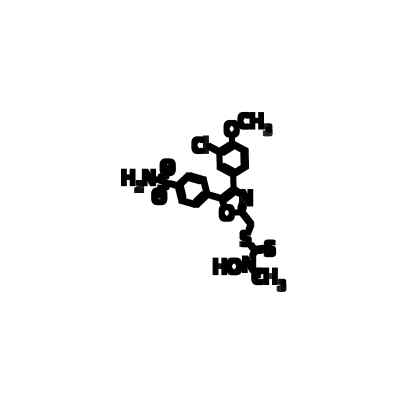 COc1ccc(-c2nc(CSC(=S)N(C)O)oc2-c2ccc(S(N)(=O)=O)cc2)cc1Cl